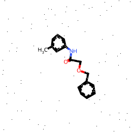 Cc1cccc(NC(=O)COCc2ccccc2)c1